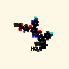 CC(C)(C)OC(=O)N1CC[C@H](Oc2ccc(C(=O)Nc3ccc(OC4CCN(C(=O)O)C4C(C)(C)C)c(-c4ccc(F)cc4)c3)cc2-c2ccc(F)nc2)C1